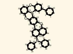 c1ccc(-c2ccc3c(c2)B2c4cc5c(cc4Oc4cccc(c42)O3)-c2ccc(N(c3ccccc3)c3ccccc3)c3cccc(c23)O5)cc1